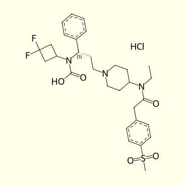 CCN(C(=O)Cc1ccc(S(C)(=O)=O)cc1)C1CCN(CC[C@@H](c2ccccc2)N(C(=O)O)C2CC(F)(F)C2)CC1.Cl